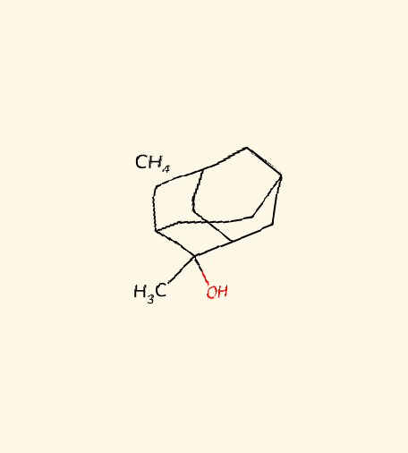 C.CC1(O)C2CC3CC(C2)CC1C3